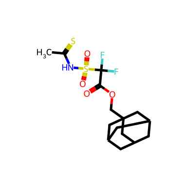 CC(=S)NS(=O)(=O)C(F)(F)C(=O)OCC12CC3CC(CC(C3)C1)C2